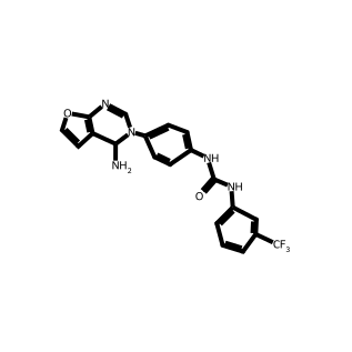 NC1c2ccoc2N=CN1c1ccc(NC(=O)Nc2cccc(C(F)(F)F)c2)cc1